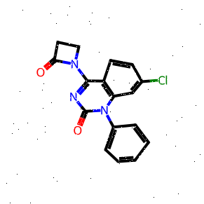 O=C1CCN1c1nc(=O)n(-c2ccccc2)c2cc(Cl)ccc12